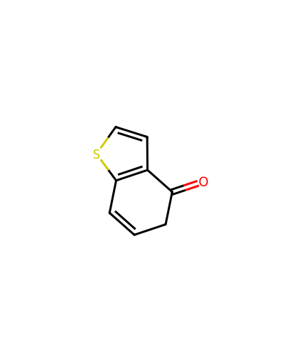 O=C1CC=Cc2sccc21